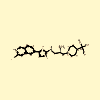 N[C@H](CNc1ncc(-c2ccc3cnc(F)cc3c2)s1)CN1CCC(C(F)(F)F)CC1